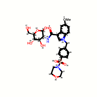 COc1ccc2c(c1)c(C(=O)N[C@H]1C(O)O[C@H](CO)[C@@H](O)[C@@H]1O)cn2Cc1ccc(S(=O)(=O)N2CCOCC2)cc1